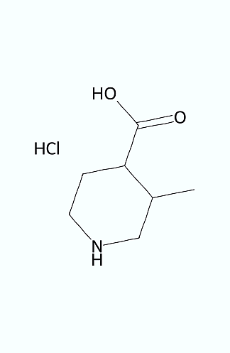 CC1CNCCC1C(=O)O.Cl